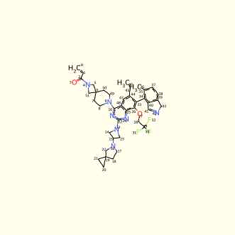 C=CC(=O)N1CC2(CCN(c3nc(N4CC(N5CCC6(CC6)C5)C4)nc4c(OCC(F)(F)F)c(-c5c(C)ccc6c5C=NC6)c(CC)cc34)CC2)C1